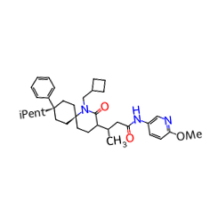 CCCC(C)[C@]1(c2ccccc2)CC[C@@]2(CCC(C(C)CC(=O)Nc3ccc(OC)nc3)C(=O)N2CC2CCC2)CC1